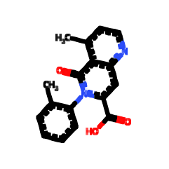 Cc1ccccc1-n1c(C(=O)O)cc2nccc(C)c2c1=O